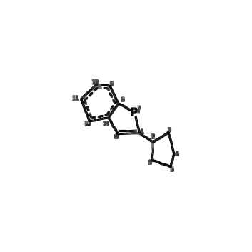 C1=C(C2CCCC2)[P]c2ccccc21